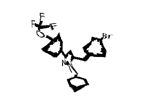 FC(F)(F)Oc1ccc(-c2cc(Cc3ccc(Br)cc3)n(C3CCCCC3)n2)cc1